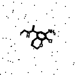 C=C(NCI)c1cc(N)c(Cl)c2c1C=CCO2